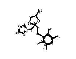 CCC1COC(CCc2c(C)c(C)cc(C)c2C)(Cn2ccnc2)O1